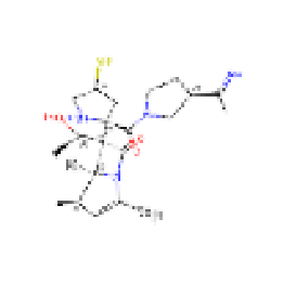 CC(=N)[C@@H]1CCN(C(=O)[C@]2([C@@]3([C@@H](C)O)C(=O)N4C(C(=O)O)=C[C@@H](C)[C@H]43)C[C@H](S)CN2)C1